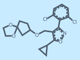 Clc1cccc(Cl)c1-c1noc(C2CC2)c1COC1CCC2(C1)OCCO2